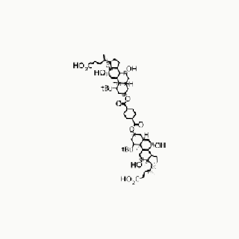 C[C@H](CCC(=O)O)[C@H]1CCC2C3C(C[C@H](O)[C@@]21C)[C@@]1(C)C(C(C)(C)C)C[C@@H](OC(=O)C2CCC(C(=O)O[C@@H]4CC(C(C)(C)C)[C@]5(C)C6C[C@H](O)[C@@]7(C)C(CC[C@@H]7[C@H](C)CCC(=O)O)C6[C@H](O)C[C@@H]5C4)CC2)C[C@H]1C[C@H]3O